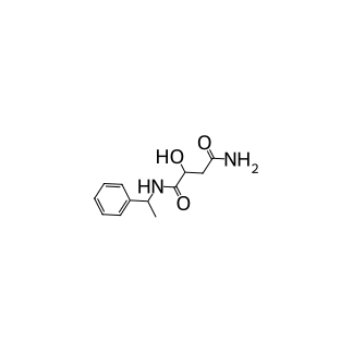 CC(NC(=O)C(O)CC(N)=O)c1ccccc1